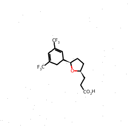 O=C(O)CC[C@@H]1CC[C@H](C2C=C(C(F)(F)F)C=C(C(F)(F)F)C2)O1